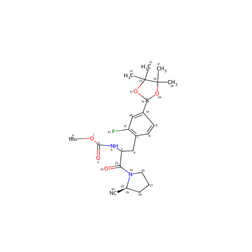 CC(C)(C)OC(=O)NC(Cc1ccc(B2OC(C)(C)C(C)(C)O2)cc1F)C(=O)N1CCC[C@H]1C#N